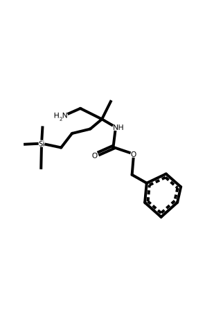 CC(CN)(CCC[Si](C)(C)C)NC(=O)OCc1ccccc1